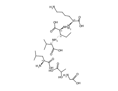 CC(C)C[C@H](N)C(=O)O.CC(C)[C@H](N)C(=O)O.CC(O)C(=O)O.CC[C@H](C)[C@H](N)C(=O)O.NCC(=O)O.NCCCC[C@H](N)C(=O)O